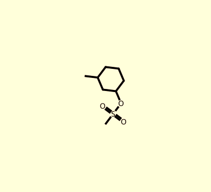 CC1CCCC(OS(C)(=O)=O)C1